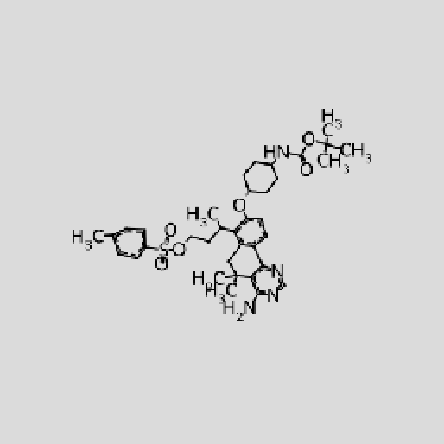 Cc1ccc(S(=O)(=O)OCCC(C)c2c(O[C@H]3CC[C@H](NC(=O)OC(C)(C)C)CC3)ccc3c2CC(C)(C)c2c(N)ncnc2-3)cc1